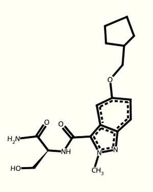 Cn1nc2ccc(OCC3CCCC3)cc2c1C(=O)N[C@@H](CO)C(N)=O